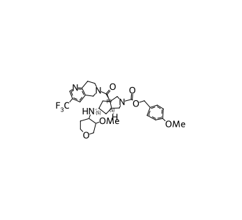 COc1ccc(COC(=O)N2C[C@H]3C[C@H](NC4CCOCC4OC)C[C@]3(C(=O)N3CCc4ncc(C(F)(F)F)cc4C3)C2)cc1